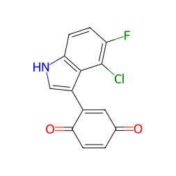 O=C1C=CC(=O)C(c2c[nH]c3ccc(F)c(Cl)c23)=C1